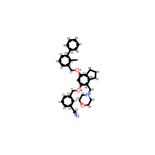 Cc1c(COc2cc(OCc3cccc(C#N)c3)c(CN3CCOCC3)c3c2CCC3)cccc1-c1ccccc1